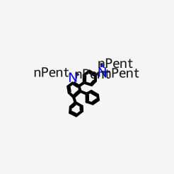 CCCCCN(CCCCC)c1ccc(-c2c(N(CCCCC)CCCCC)ccc(-c3ccccc3)c2-c2ccccc2)cc1